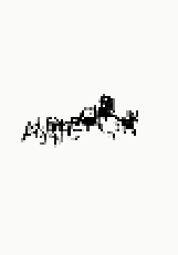 Cc1c(CCCCNCC(C)(C)C)cccc1-c1cccc(CCc2cc(CCc3cncc(C#N)c3)c(CN3CCCCC3)cc2Cl)c1C